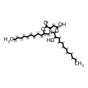 CCCCCCCCCCC(O)CN1CC(CCCCCCCCCC)OC(=O)C1CC(=O)O